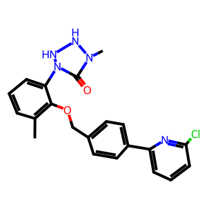 Cc1cccc(N2NNN(C)C2=O)c1OCc1ccc(-c2cccc(Cl)n2)cc1